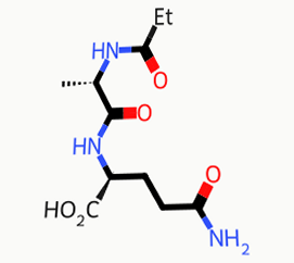 CCC(=O)N[C@@H](C)C(=O)N[C@@H](CCC(N)=O)C(=O)O